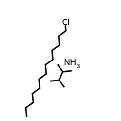 CC(C)C(C)C.CCCCCCCCCCCCCCl.N